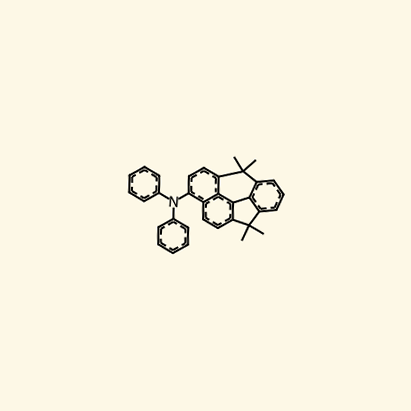 CC1(C)c2cccc3c2-c2c1ccc1c(N(c4ccccc4)c4ccccc4)ccc(c21)C3(C)C